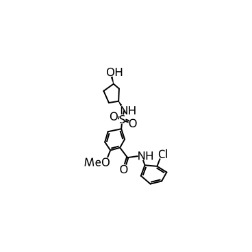 COc1ccc(S(=O)(=O)N[C@H]2CC[C@@H](O)C2)cc1C(=O)Nc1ccccc1Cl